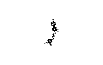 O=C1CCC(c2ccc(OCCCOc3ccc(O)c(Br)c3)c(Cl)c2)=NN1